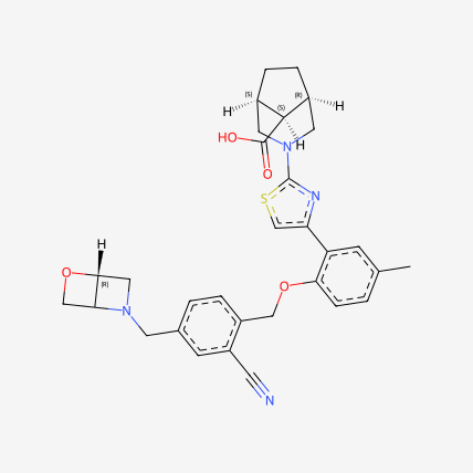 Cc1ccc(OCc2ccc(CN3C[C@H]4OCC43)cc2C#N)c(-c2csc(N3C[C@H]4CC[C@@H](C3)[C@H]4C(=O)O)n2)c1